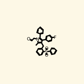 Cc1c(Cc2ccccc2S(=O)(=O)c2ccccc2)c(-c2ccc(F)cc2)c(-c2ccccc2)n1CC=O